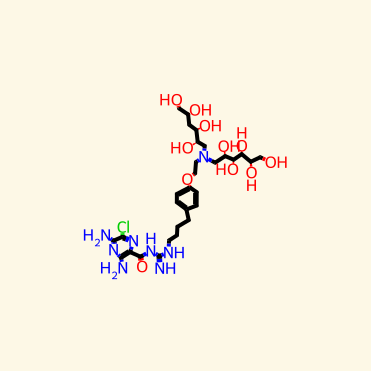 N=C(NCCCCc1ccc(OCCN(C[C@H](O)[C@@H](O)[C@H](O)[C@H](O)CO)C[C@H](O)[C@@H](O)C[C@H](O)CO)cc1)NC(=O)c1nc(Cl)c(N)nc1N